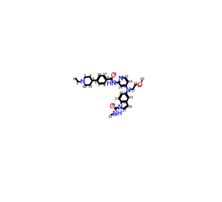 CCN1CCC(c2ccc(C(=O)Nc3cc(N(CCOC)c4ccc5c(ccn5C(=O)NC)c4)ccn3)cc2)CC1